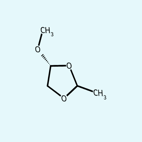 CO[C@H]1COC(C)O1